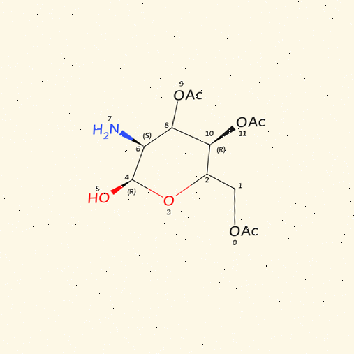 CC(=O)OCC1O[C@@H](O)[C@@H](N)C(OC(C)=O)[C@H]1OC(C)=O